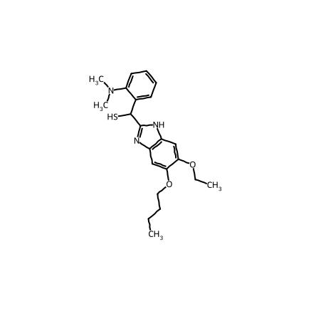 CCCCOc1cc2nc(C(S)c3ccccc3N(C)C)[nH]c2cc1OCC